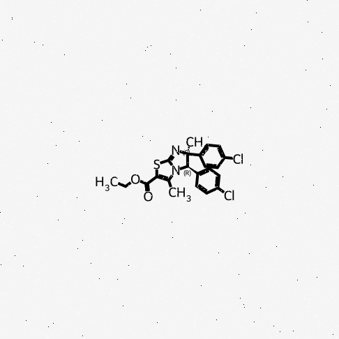 CCOC(=O)C1=C(C)N2C(=N[C@@](C)(c3ccc(Cl)cc3)[C@H]2c2ccc(Cl)cc2)S1